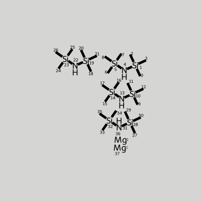 C[Si](C)(C)N[Si](C)(C)C.C[Si](C)(C)N[Si](C)(C)C.C[Si](C)(C)N[Si](C)(C)C.C[Si](C)(C)N[Si](C)(C)C.[Mg].[Mg]